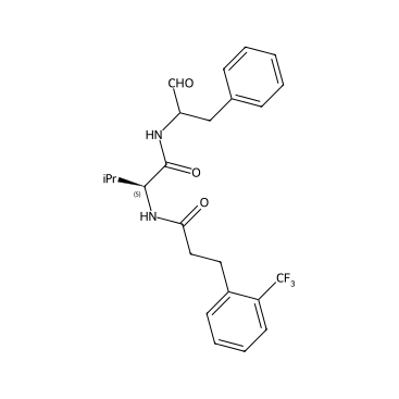 CC(C)[C@H](NC(=O)CCc1ccccc1C(F)(F)F)C(=O)NC(C=O)Cc1ccccc1